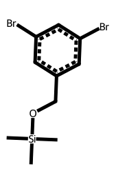 C[Si](C)(C)OCc1cc(Br)cc(Br)c1